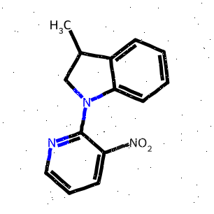 CC1CN(c2ncccc2[N+](=O)[O-])c2ccccc21